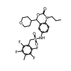 CCCN1C(=O)OC(C2CCOCC2)c2cc(NS(=O)(=O)Cc3c(F)c(F)c(C)c(F)c3F)ccc21